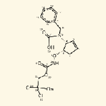 O=C(NO[C@H]1CC=C[C@H]1N(Cc1ccccc1)C(=O)O)OCC(Cl)(Cl)Cl